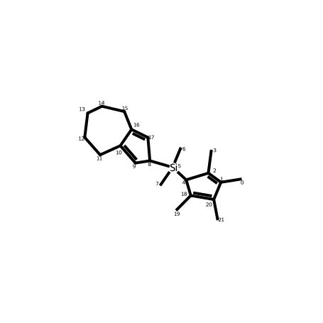 CC1=C(C)C([Si](C)(C)C2C=C3CCCCCC3=C2)C(C)=C1C